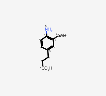 CSc1cc(CCC(=O)O)ccc1N